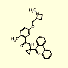 Cc1ccc(OC[C@@H]2CCN2C)cc1C(=O)NC1(c2cc3ccccc3c3ccccc23)CC1